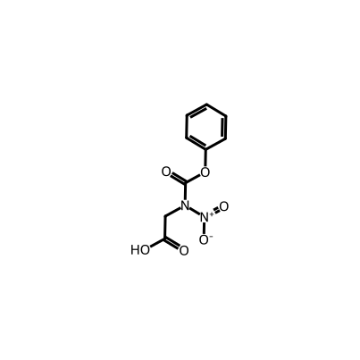 O=C(O)CN(C(=O)Oc1ccccc1)[N+](=O)[O-]